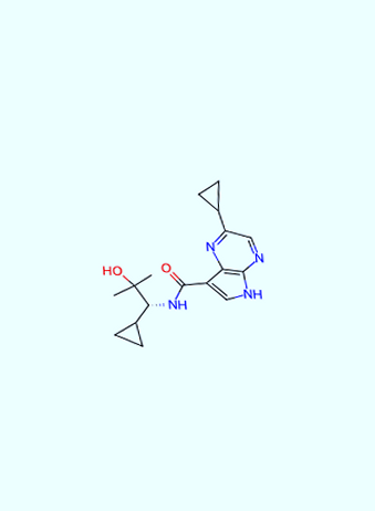 CC(C)(O)[C@H](NC(=O)c1c[nH]c2ncc(C3CC3)nc12)C1CC1